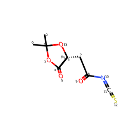 CC1(C)OC(=O)[C@@H](CC(=O)N=C=S)O1